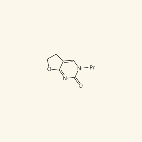 CC(C)n1cc2c(nc1=O)OCC2